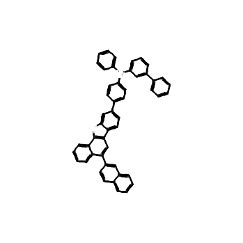 c1ccc(-c2cccc(N(c3ccccc3)c3ccc(-c4ccc5c(c4)oc4c6ccccc6c(-c6ccc7ccccc7c6)cc54)cc3)c2)cc1